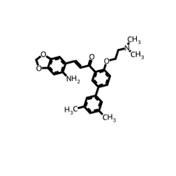 Cc1cc(C)cc(-c2ccc(OCCN(C)C)c(C(=O)/C=C/c3cc4c(cc3N)OCO4)c2)c1